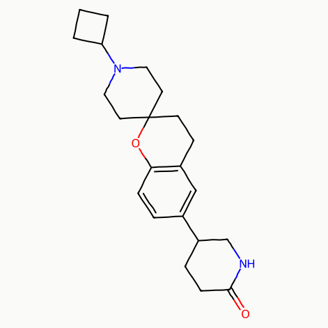 O=C1CCC(c2ccc3c(c2)CCC2(CCN(C4CCC4)CC2)O3)CN1